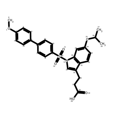 COc1ccc(-c2ccc(S(=O)(=O)n3cc(CCC(=O)O)c4ccc(OC(C)C)cc43)cc2)cc1